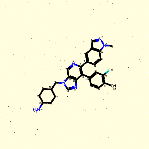 Cn1ncc2cc(-c3ncc4c(ncn4CC4CCC(N)CC4)c3-c3ccc(C#N)c(F)c3)ccc21